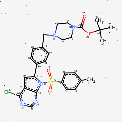 Cc1ccc(S(=O)(=O)n2c(-c3ccc(CN4CCN(C(=O)OC(C)(C)C)CC4)cc3)cc3c(Cl)ncnc32)cc1